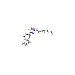 CCC#CCOc1nsc(C2CCCC(CC)C2)n1